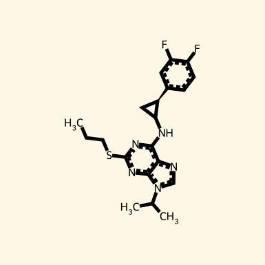 CCCSc1nc(NC2C[C@H]2c2ccc(F)c(F)c2)c2ncn(C(C)C)c2n1